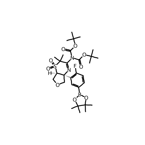 CC(C)(C)OC(=O)N(C(=O)OC(C)(C)C)C1=N[C@@]2(c3cc(B4OC(C)(C)C(C)(C)O4)ccc3F)COC[C@H]2S(=O)(=O)C1(C)C